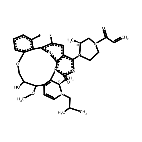 C=CC(=O)N1CCN(c2nc(=O)n3c4nc(c(F)cc24)-c2c(F)cccc2OCC(O)C(OC)C2=C3[C@@H](C)N(CC(C)C)C=C2)[C@@H](C)C1